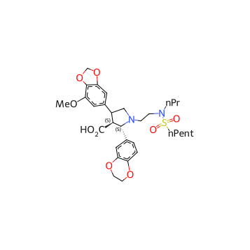 CCCCCS(=O)(=O)N(CCC)CCN1CC(c2cc(OC)c3c(c2)OCO3)[C@H](C(=O)O)[C@H]1c1ccc2c(c1)OCCO2